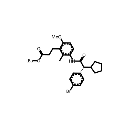 COc1ccc(NC(=O)[C@@H](c2ccc(Br)cc2)C2CCCC2)c(C)c1CCC(=O)OC(C)(C)C